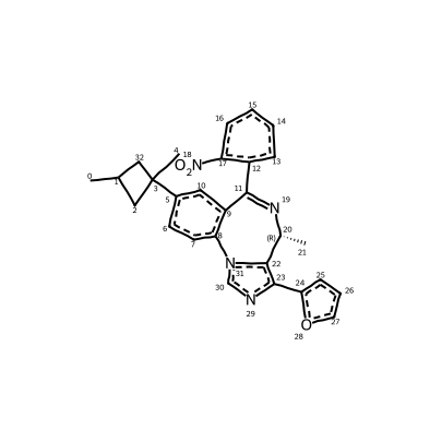 CC1CC(C)(c2ccc3c(c2)C(c2ccccc2[N+](=O)[O-])=N[C@H](C)c2c(-c4ccco4)ncn2-3)C1